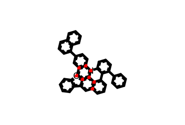 c1ccc(-c2ccccc2-c2c(-c3ccccc3)cccc2N(c2ccc(-c3cccc4ccccc34)cc2)c2cccc3c2oc2ccccc23)cc1